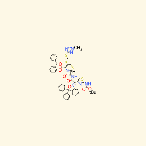 Cn1cnc(SCSC2=C(C(=O)OC(c3ccccc3)c3ccccc3)N3C(=O)[C@@H](NC(=O)/C(=N\OC(c4ccccc4)(c4ccccc4)c4ccccc4)c4csc(NC(=O)OC(C)(C)C)n4)[C@H]3SC2)n1